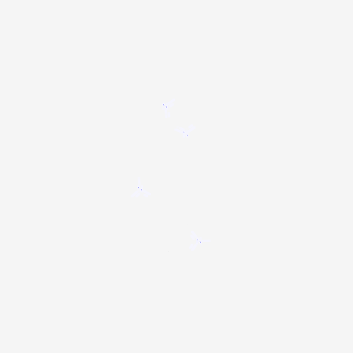 c1ccc(-c2nc(-c3cc(-n4c5ccccc5c5c6c7ccccc7n(-c7ccccc7)c6ccc54)cc4ccccc34)nc3ccccc23)cc1